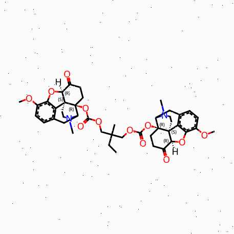 CCC(C)(COC(=O)O[C@]12CCC(=O)[C@@H]3Oc4c(OC)ccc5c4[C@@]31CCN(C)C2C5)COC(=O)O[C@]12CCC(=O)[C@@H]3Oc4c(OC)ccc5c4[C@@]31CCN(C)C2C5